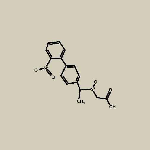 CC(c1ccc(-c2ccccc2[N+](=O)[O-])cc1)[S+]([O-])CC(=O)O